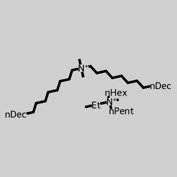 CCC.CCCCCCCCCCCCCCCCCC[N+](C)(C)CCCCCCCCCCCCCCCCCC.CCCCCC[N+](C)(C)CCCCC